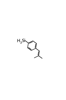 CC(C)=Cc1ccc([SiH3])cc1